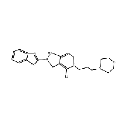 CCC1=C2CN(c3nc4ccccc4s3)NC2=CCN1CCCN1CCOCC1